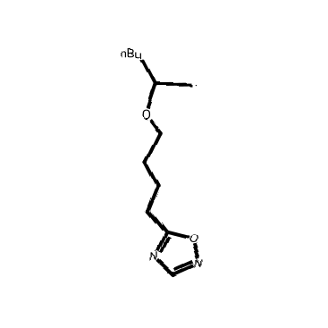 [CH2]C(CCCC)OCCCCc1ncno1